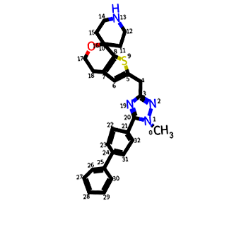 Cn1nc(Cc2cc3c(s2)C2(CCNCC2)OCC3)nc1-c1ccc(-c2ccccc2)cc1